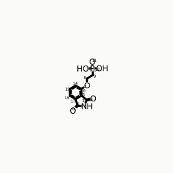 O=C1NC(=O)c2c(OCCP(=O)(O)O)cccc21